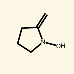 C=C1CCCN1O